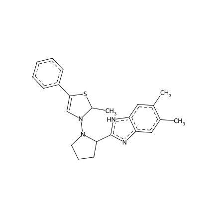 Cc1cc2nc(C3CCCN3N3[C]=C(c4ccccc4)SC3C)[nH]c2cc1C